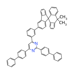 CC1(C)c2ccccc2C2(c3ccccc3-c3cc(-c4cccc(-c5cc(-c6ccc(-c7ccccc7)cc6)nc(-c6ccc(-c7ccccc7)cc6)n5)c4)ccc32)c2ccccc21